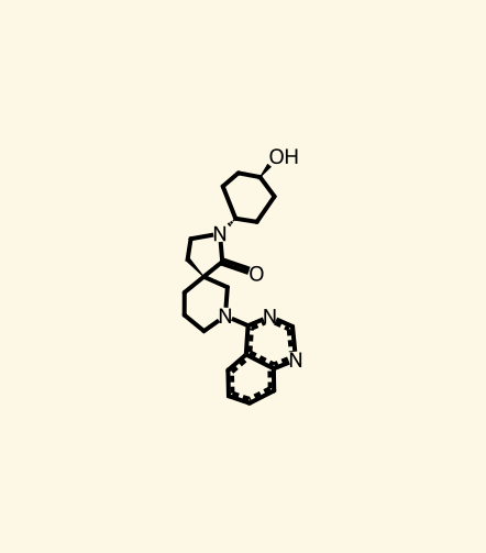 O=C1N([C@H]2CC[C@H](O)CC2)CC[C@@]12CCCN(c1ncnc3ccccc13)C2